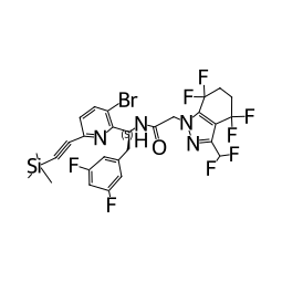 C[Si](C)(C)C#Cc1ccc(Br)c([C@H](Cc2cc(F)cc(F)c2)NC(=O)Cn2nc(C(F)F)c3c2C(F)(F)CCC3(F)F)n1